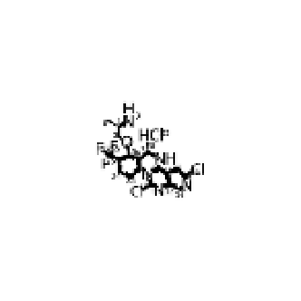 C[C@@H](N)COc1c([C@@H](C)Nc2nc(Cl)nc3cnc(Cl)cc23)cccc1C(F)(F)F.Cl